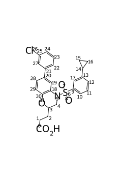 O=C(O)CCC1CN(S(=O)(=O)c2cccc(C3CC3)c2)c2cc(-c3cccc(Cl)c3)ccc2O1